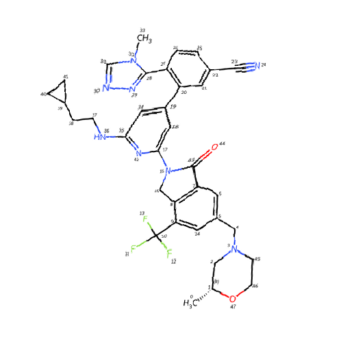 C[C@@H]1CN(Cc2cc3c(c(C(F)(F)F)c2)CN(c2cc(-c4cc(C#N)ccc4-c4nncn4C)cc(NCCC4CC4)n2)C3=O)CCO1